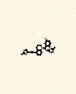 Cc1nc(C#Cc2cccc3c2CCCN3c2nc3nnc(C)n3c3ccc(F)cc23)cs1